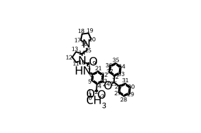 COC(=O)c1cc(NC(=O)N2CCCC2CN2CCCC2)ccc1OC(c1ccccc1)c1ccccc1